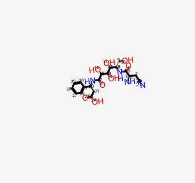 N#CC[C@H](N)C(=O)N[C@@H](CO)[C@@H](O)[C@@H](O)[C@H](O)C(=O)N[C@@H](CC(=O)O)c1ccccc1